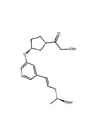 CN[C@@H](C)CC=Cc1cncc(O[C@H]2CCN(C(=O)COC)C2)c1